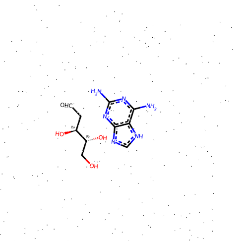 Nc1nc(N)c2[nH]cnc2n1.O=CC[C@H](O)[C@H](O)CO